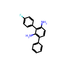 Nc1ccc(-c2ccccc2)c(N)c1-c1ccc(F)cc1